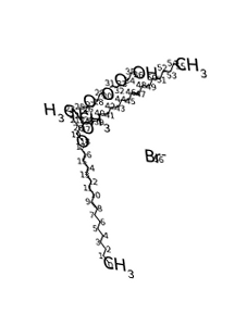 CCCCCCCCC=CCCCCCCCCOCC(C[N+](C)(C)CCOCCOCCOCCO)OCCCCCCCCC=CCCCCCCCC.[Br-]